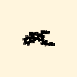 CNc1cc(C(C)(C)CC(C)(C)C)cc(-n2nc3ccccc3n2)c1OC